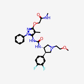 CNC(=O)COc1nn(-c2ccccc2)c(NC(=O)N[C@@H]2CN(CCOC)C[C@H]2c2ccc(F)c(F)c2)c1C